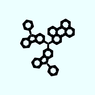 c1ccc(-n2c3ccccc3c3cc(N(c4ccc5c(c4)c4ccccc4n5-c4ccccc4)c4ccc5c6cccc7cccc(c8cccc4c85)c76)ccc32)cc1